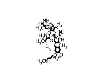 COCCCOc1cc(C[C@@H](C[C@H](N=[N+]=[N-])[C@H](C[C@H](C(=O)NCC(C)(C)C(N)=O)C(C)C)OC(=O)[C@@H](N)C(C)C)C(C)C)ccc1OC